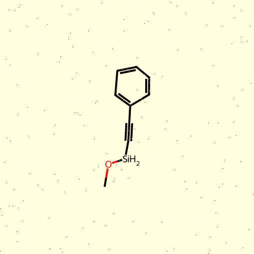 CO[SiH2]C#Cc1ccccc1